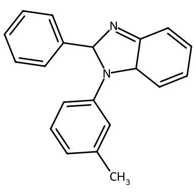 Cc1cccc(N2C3C=CC=CC3=NC2c2ccccc2)c1